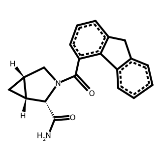 NC(=O)[C@@H]1[C@@H]2C[C@@H]2CN1C(=O)c1cccc2c1-c1ccccc1C2